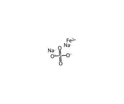 O=S(=O)([O-])[O-].[Fe+2].[Na].[Na]